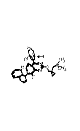 CN(C)CC1(COc2nc(N3[C@@H]4CC[C@H]3CNC4)c3ccc(-c4cccc5cccc(Cl)c45)c(F)c3n2)CC1